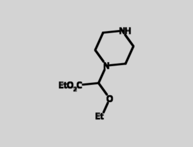 CCOC(=O)C(OCC)N1CCNCC1